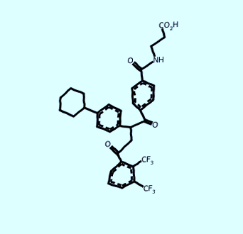 O=C(O)CCNC(=O)c1ccc(C(=O)C(CC(=O)c2cccc(C(F)(F)F)c2C(F)(F)F)c2ccc(C3CCCCC3)cc2)cc1